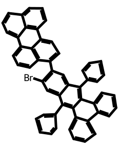 Brc1cc2c(-c3ccccc3)c3c4ccccc4c4ccccc4c3c(-c3ccccc3)c2cc1-c1ccc2c3cccc4cccc(c5cccc1c52)c43